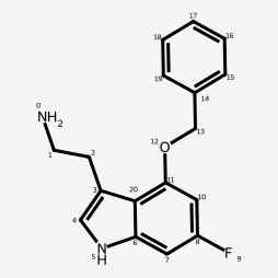 NCCc1c[nH]c2cc(F)cc(OCc3ccccc3)c12